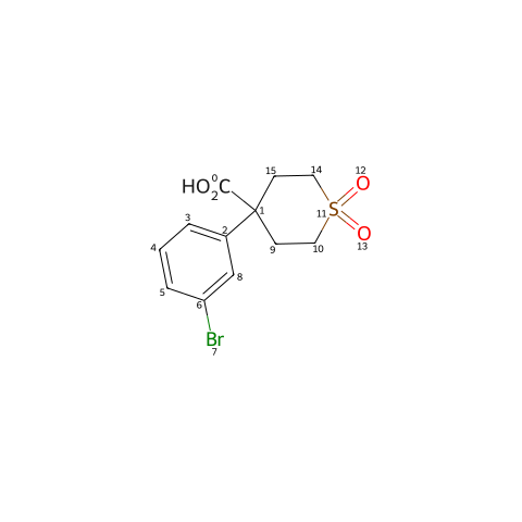 O=C(O)C1(c2cccc(Br)c2)CCS(=O)(=O)CC1